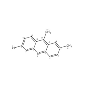 Cc1ccc2nc3cc(Cl)ccc3c(N)c2c1